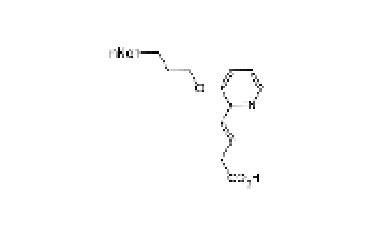 CCCCCCCCCCCCOc1cccnc1C=CCC(=O)O